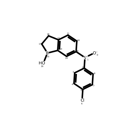 [O-][S+](c1ccc(Cl)cc1)c1ccc2c(c1)B(O)CC2